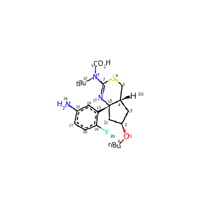 CCCCO[C@@H]1C[C@H]2CSC(N(C(=O)O)C(C)(C)C)=N[C@@]2(c2cc(N)ccc2F)C1